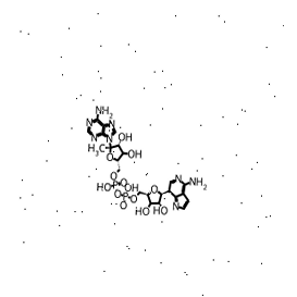 C[C@]1(n2cnc3c(N)ncnc32)O[C@@H](COP(=O)(O)OP(=O)(O)OC[C@H]2O[C@@H](C3C=NC(N)=C4C=CN=C43)[C@@H](O)C2O)C(O)[C@H]1O